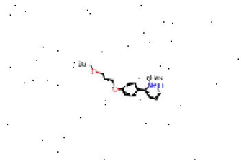 CCCCCCN1NC=CC=C1c1ccc(OCCCOC[C@@H](C)CC)cc1